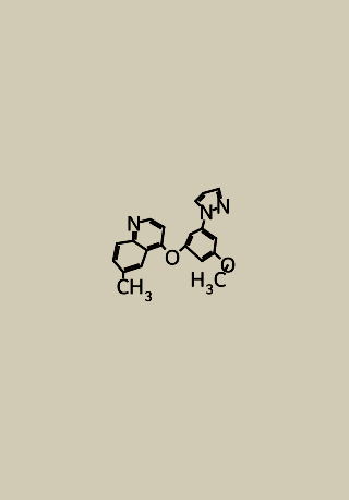 COc1cc(Oc2ccnc3ccc(C)cc23)cc(-n2cccn2)c1